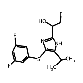 CC(C)c1[nH]c(C(O)CF)nc1Sc1cc(F)cc(F)c1